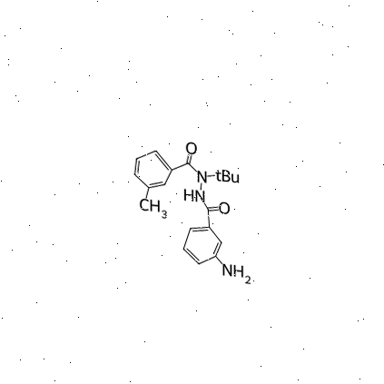 Cc1cccc(C(=O)N(NC(=O)c2cccc(N)c2)C(C)(C)C)c1